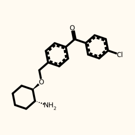 N[C@@H]1CCCC[C@H]1OCc1ccc(C(=O)c2ccc(Cl)cc2)cc1